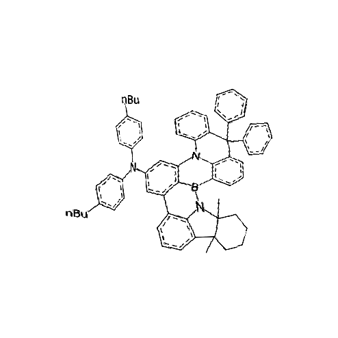 CCCCc1ccc(N(c2ccc(CCCC)cc2)c2cc3c4c(c2)N2c5ccccc5C(c5ccccc5)(c5ccccc5)c5cccc(c52)B4N2c4c-3cccc4C3(C)CCCCC23C)cc1